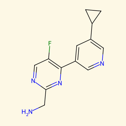 NCc1ncc(F)c(-c2cncc(C3CC3)c2)n1